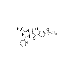 Cc1nc(NC(=O)c2ccc(S(C)(=O)=O)cc2Cl)nc(-c2ccccn2)n1